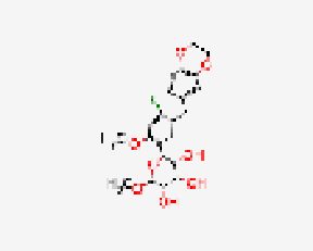 COc1cc(Cl)c(Cc2ccc3c(c2)OCCO3)cc1[C@@H]1O[C@H](OC)[C@@H](O)[C@H](O)[C@H]1O